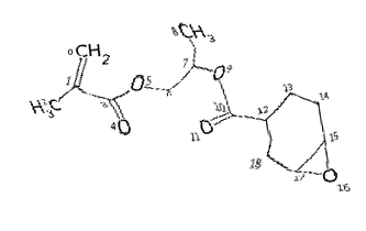 C=C(C)C(=O)OCC(C)OC(=O)C1CCC2OC2C1